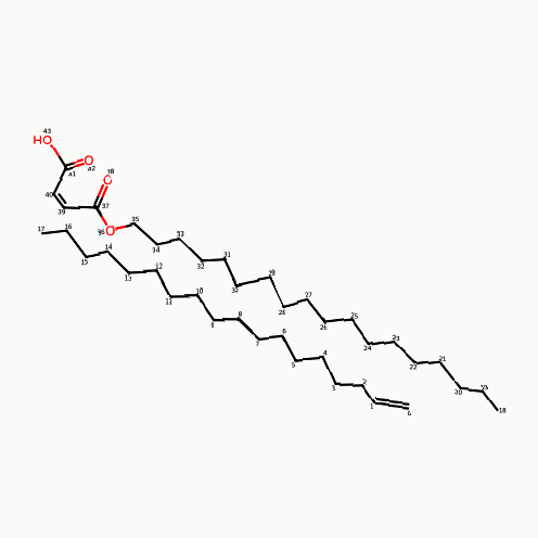 C=CCCCCCCCCCCCCCCCC.CCCCCCCCCCCCCCCCCCOC(=O)/C=C\C(=O)O